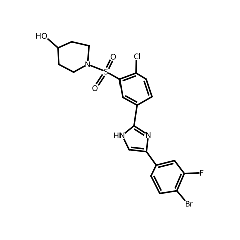 O=S(=O)(c1cc(-c2nc(-c3ccc(Br)c(F)c3)c[nH]2)ccc1Cl)N1CCC(O)CC1